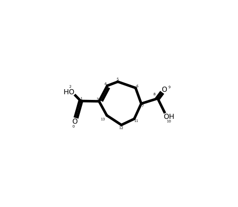 O=C(O)C1=CCCC(C(=O)O)CCC1